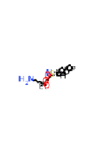 CC[C@@H](CCCCN)C(=O)OCC1=CS(C[C@H]2CCC3[C@@H]4CCC5C[C@@H](C)CC[C@]5(C)C4CC[C@@]32C)=NO1